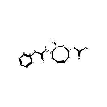 CB1O[C@H](CC(C)=O)C/C=C\C[C@@H]1NC(=O)Cc1ccccc1